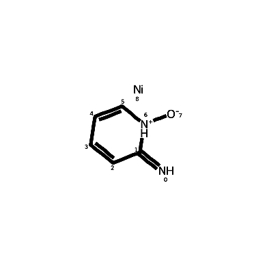 N=C1C=CC=C[NH+]1[O-].[Ni]